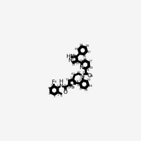 Cc1cccc(F)c1NC(=O)c1cc2c(s1)-c1ccccc1N(C(=O)c1cccc(-c3cn[nH]c3-c3ccccc3)n1)CC2